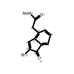 CNC(=O)Cc1cccc2c1C=C(Br)C2=O